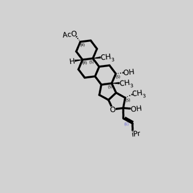 CC(=O)O[C@@H]1CC[C@]2(C)C3C[C@H](O)[C@@]4(C)C(CC5OC(O)(/C=C/C(C)C)[C@@H](C)C54)C3CC[C@@H]2C1